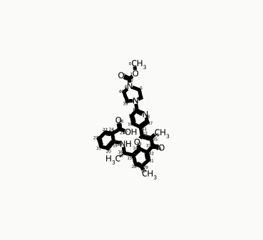 COC(=O)N1CCN(c2ccc(-c3oc4c([C@H](C)Nc5ccccc5C(=O)O)cc(C)cc4c(=O)c3C)cn2)CC1